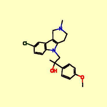 COc1ccc(C(C)(O)Cn2c3c(c4cc(Cl)ccc42)CN(C)CC3)cc1